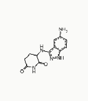 Nc1ccc2[nH]nc(NC3CCC(=O)NC3=O)c2c1